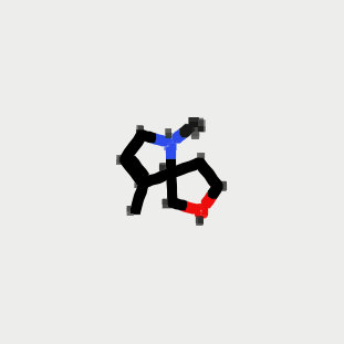 CCN1CC=C(C)C12CCOC2